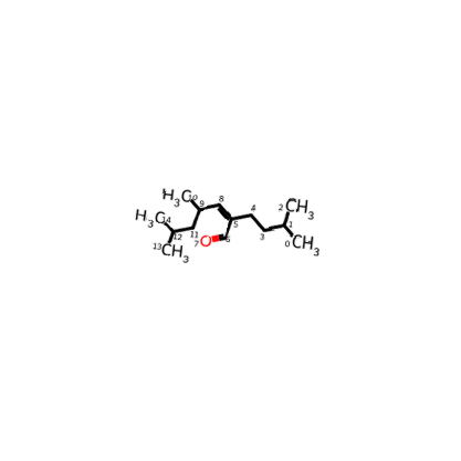 CC(C)CCC(C=O)=CC(C)CC(C)C